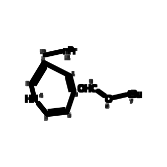 C1=CC=CNC=C1.CC(C)(C)OC=O.CCCC